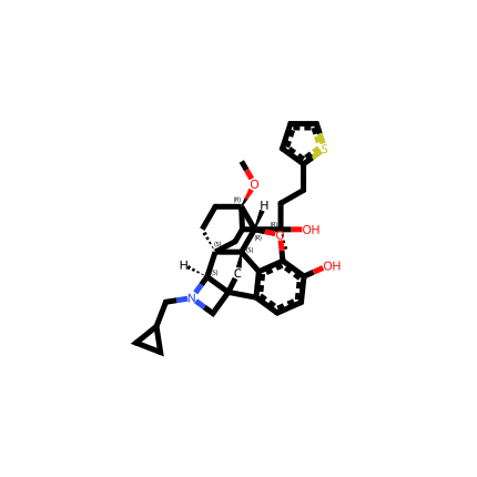 CO[C@]12CC[C@@]3(CC1[C@](C)(O)CCc1cccs1)[C@@H]1N(CC4CC4)CC14C[C@@]31c3c4ccc(O)c3O[C@H]12